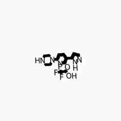 O=C(O)C(F)(F)F.c1cc(-c2ccc(N3CCNCC3)nc2)[nH]n1